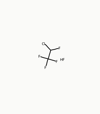 F.FC(Cl)C(F)(F)F